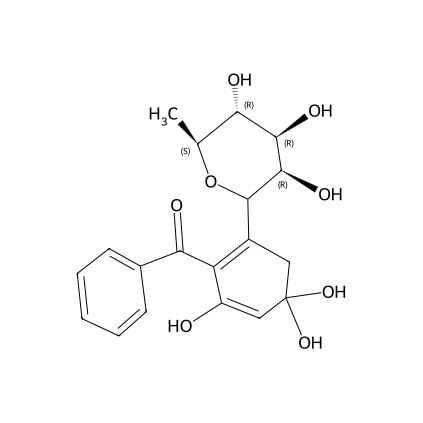 C[C@@H]1OC(C2=C(C(=O)c3ccccc3)C(O)=CC(O)(O)C2)[C@H](O)[C@H](O)[C@H]1O